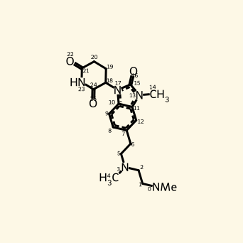 CNCCN(C)CCc1ccc2c(c1)n(C)c(=O)n2C1CCC(=O)NC1=O